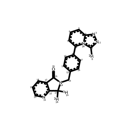 [2H]c1nnc2cccc(-c3ccc(CN4C(=O)c5cccnc5C4([2H])[2H])cc3)n12